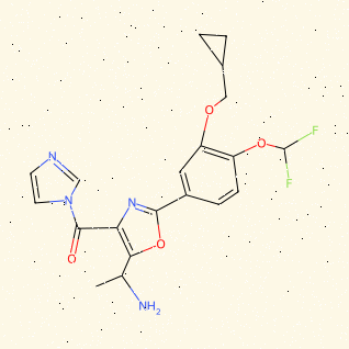 CC(N)c1oc(-c2ccc(OC(F)F)c(OCC3CC3)c2)nc1C(=O)n1ccnc1